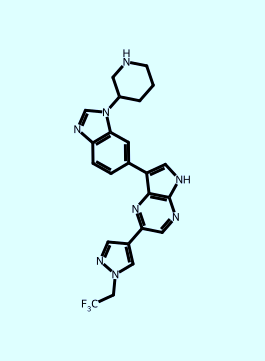 FC(F)(F)Cn1cc(-c2cnc3[nH]cc(-c4ccc5ncn(C6CCCNC6)c5c4)c3n2)cn1